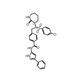 O=C(Nc1cc(-c2ccccc2)n[nH]1)c1ccc(CN([C@@H]2CCCCNC2=O)S(=O)(=O)c2ccc(Cl)cc2)cc1